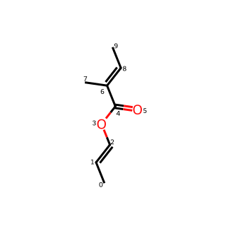 C/C=C/OC(=O)/C(C)=C/C